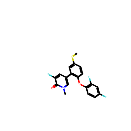 CSc1ccc(Oc2ccc(F)cc2F)c(-c2cc(F)c(=O)n(C)c2)c1